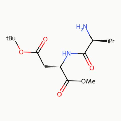 COC(=O)[C@H](CC(=O)OC(C)(C)C)NC(=O)[C@@H](N)C(C)C